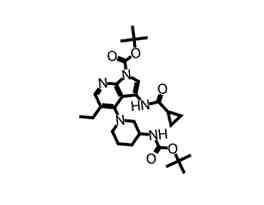 CCc1cnc2c(c(NC(=O)C3CC3)cn2C(=O)OC(C)(C)C)c1N1CCCC(NC(=O)OC(C)(C)C)C1